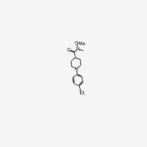 CCc1ccc(N2CCC(C(=O)N(C)OC)CC2)cc1